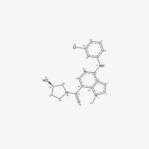 Cn1ccc2c(Nc3cccc(Cl)c3)ncc(C(=O)N3CC[C@@H](O)C3)c21